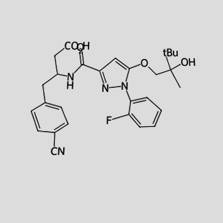 CC(C)(C)C(C)(O)COc1cc(C(=O)NC(CC(=O)O)Cc2ccc(C#N)cc2)nn1-c1ccccc1F